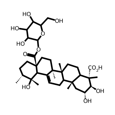 C[C@@H]1CC[C@]2(C(=O)OC3OC(CO)C(O)C(O)C3O)CC[C@]3(C)C(=CCC4[C@@]5(C)C[C@@H](O)[C@H](O)[C@@](C)(C(=O)O)C5CC[C@]43C)C2[C@]1(C)O